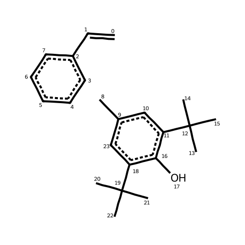 C=Cc1ccccc1.Cc1cc(C(C)(C)C)c(O)c(C(C)(C)C)c1